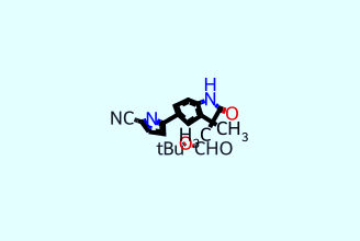 CC(C)(C)OC=O.CC1(C)C(=O)Nc2ccc(-c3cc4c(C#N)n3-4)cc21